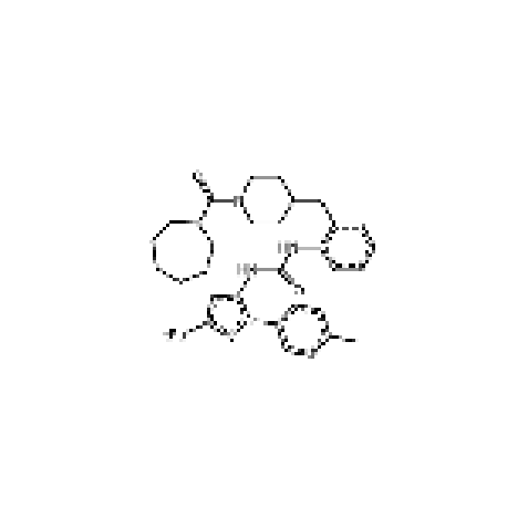 Cc1ccc(-n2nc(C(C)(C)C)cc2NC(=O)Nc2ccccc2CC2CCN(C(=O)C3CCCCCC3)CC2)cc1